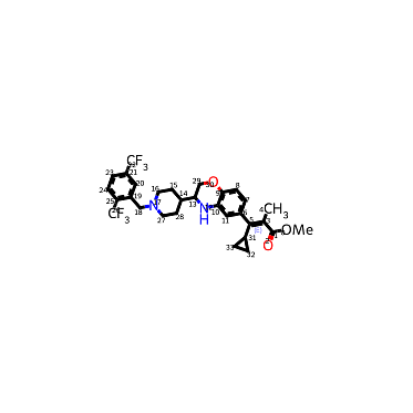 COC(=O)/C(C)=C(/c1ccc2c(c1)NC(C1CCN(Cc3cc(C(F)(F)F)ccc3C(F)(F)F)CC1)CO2)C1CC1